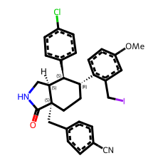 COc1ccc([C@@H]2CC[C@@]3(Cc4ccc(C#N)cc4)C(=O)NC[C@H]3[C@H]2c2ccc(Cl)cc2)c(CI)c1